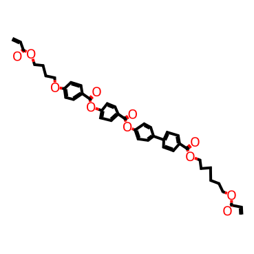 C=CC(=O)OCCCCCCOC(=O)c1ccc(-c2ccc(OC(=O)c3ccc(OC(=O)c4ccc(OCCCCOC(=O)C=C)cc4)cc3)cc2)cc1